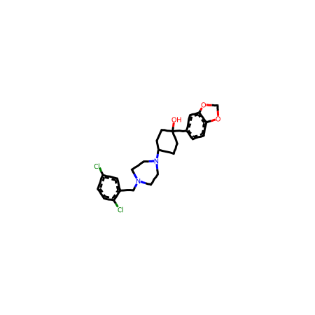 OC1(c2ccc3c(c2)OCO3)CCC(N2CCN(Cc3cc(Cl)ccc3Cl)CC2)CC1